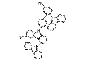 N#Cc1ccc(-n2c3ccccc3c3ccccc32)c(-c2ccc(-n3c4ccc(C#N)cc4c4c(-n5c6ccccc6c6ccccc65)cccc43)cc2)c1